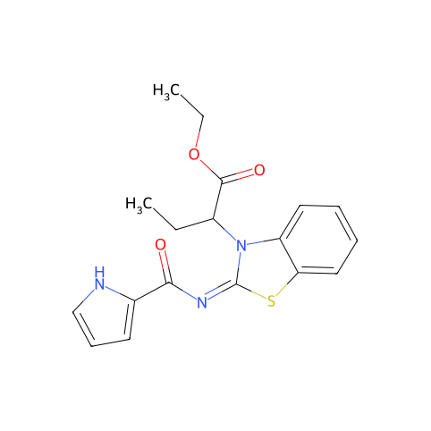 CCOC(=O)C(CC)n1/c(=N\C(=O)c2ccc[nH]2)sc2ccccc21